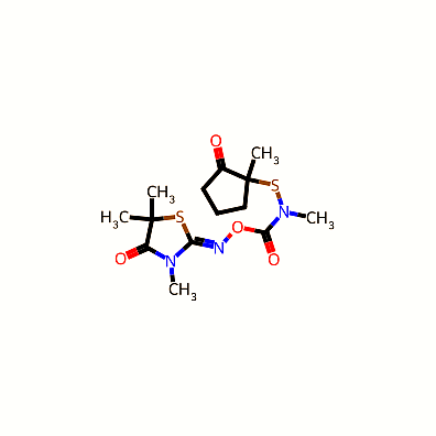 CN(SC1(C)CCCC1=O)C(=O)ON=C1SC(C)(C)C(=O)N1C